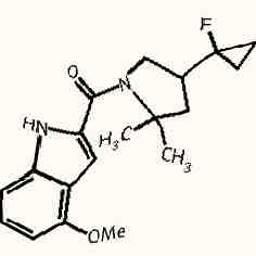 COc1cccc2[nH]c(C(=O)N3CC(C4(F)CC4)CC3(C)C)cc12